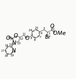 COC(=O)C(Br)Cc1ccc(OCC2CN(c3ccccn3)C(=O)O2)cc1